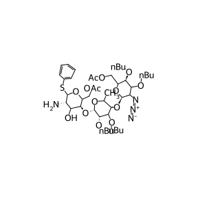 CCCCOC1C(N=[N+]=[N-])[C@@H](O[C@@H]2C(C)O[C@@H](O[C@@H]3C(COC(C)=O)OC(Sc4ccccc4)[C@@H](N)C3O)[C@@H](OCCCC)C2OCCCC)OC(COC(C)=O)[C@H]1OCCCC